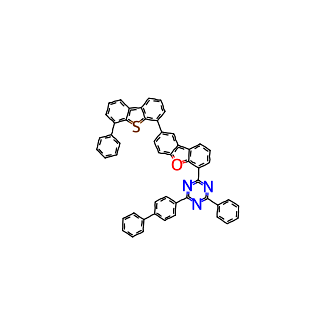 c1ccc(-c2ccc(-c3nc(-c4ccccc4)nc(-c4cccc5c4oc4ccc(-c6cccc7c6sc6c(-c8ccccc8)cccc67)cc45)n3)cc2)cc1